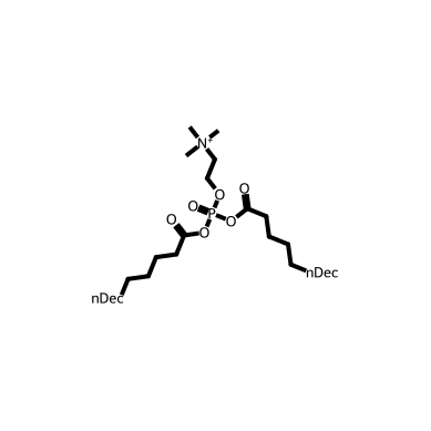 CCCCCCCCCCCCCCC(=O)OP(=O)(OCC[N+](C)(C)C)OC(=O)CCCCCCCCCCCCCC